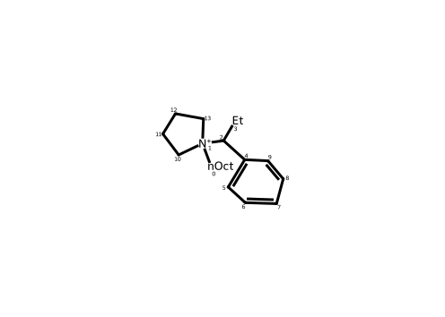 CCCCCCCC[N+]1(C(CC)c2ccccc2)CCCC1